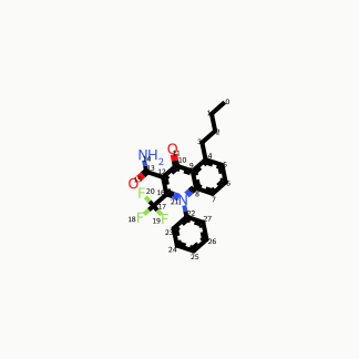 CCCCc1cccc2c1c(=O)c(C(N)=O)c(C(F)(F)F)n2-c1ccccc1